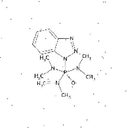 CN(C)P([O])(N(C)C)(N(C)C)n1nnc2ccccc21